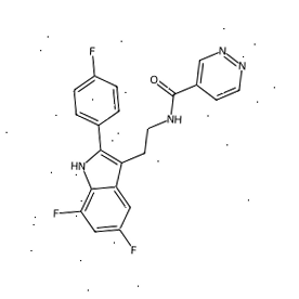 O=C(NCCc1c(-c2ccc(F)cc2)[nH]c2c(F)cc(F)cc12)c1ccnnc1